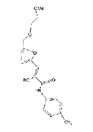 COCCOCc1ccc(/C=C(\C#N)C(=O)Nc2ccc(C)cc2)o1